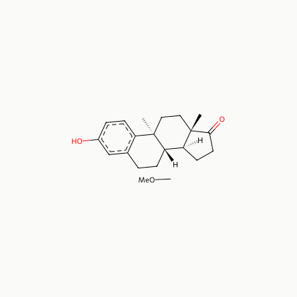 COC.C[C@]12CC[C@]3(C)c4ccc(O)cc4CC[C@H]3[C@@H]1CCC2=O